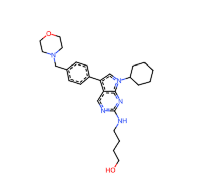 OCCCCNc1ncc2c(-c3ccc(CN4CCOCC4)cc3)cn(C3CCCCC3)c2n1